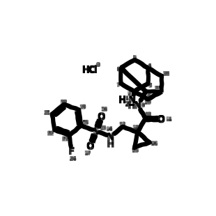 Cl.NC12CC3CC(C1)C(NC(=O)C1(CNS(=O)(=O)c4ccccc4F)CC1)C(C3)C2